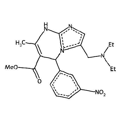 CCN(CC)Cc1cnc2n1C(c1cccc([N+](=O)[O-])c1)C(C(=O)OC)=C(C)N2